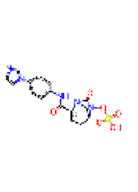 O=C(Nc1ccc(-n2ccnc2)cc1)[C@@H]1CCC2CN1C(=O)N2OS(=O)(=O)O